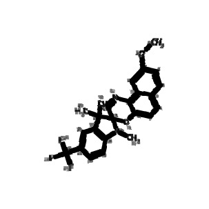 COc1ccc2ccc3c(c2c1)N=CC1(O3)N(C)c2ccc(C(F)(F)F)cc2C1(C)C